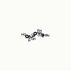 CC(C)(C)c1cc(NC(=O)Nc2ccc3oc(C(O)c4cc5cc(O)ccc5[nH]4)cc3c2)no1